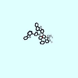 CC1(C)c2ccccc2-c2ccc(-c3ccc4oc5c6ccccc6ccc5c4c3N(c3ccc(-c4ccccc4)cc3)c3ccc(-c4cccc5c4sc4ccccc45)cc3)cc21